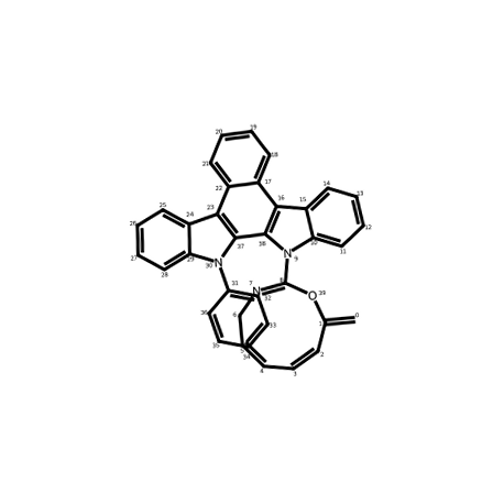 C=C1/C=C\C=C/C/N=C(/n2c3ccccc3c3c4ccccc4c4c5ccccc5n(-c5ccccc5)c4c32)O1